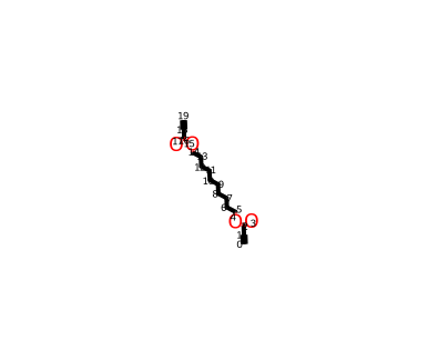 C#CC(=O)OCCCCCCCCCCOC(=O)C#C